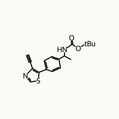 C#Cc1ncsc1-c1ccc(C(C)NC(=O)OC(C)(C)C)cc1